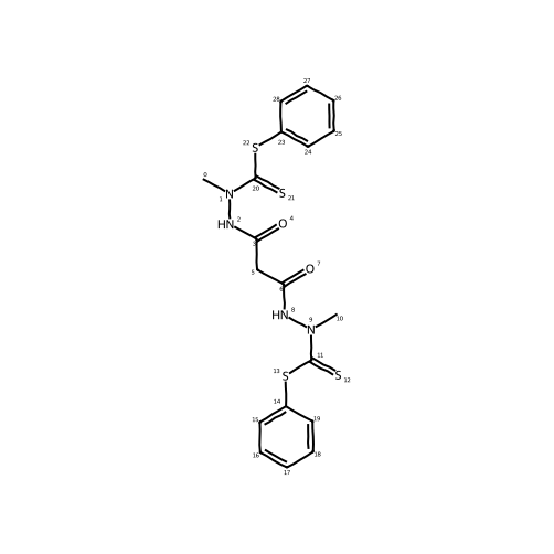 CN(NC(=O)CC(=O)NN(C)C(=S)Sc1ccccc1)C(=S)Sc1ccccc1